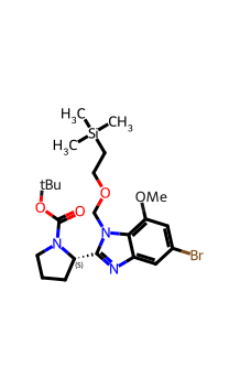 COc1cc(Br)cc2nc([C@@H]3CCCN3C(=O)OC(C)(C)C)n(COCC[Si](C)(C)C)c12